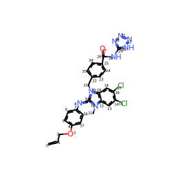 C=CCOc1ccc(/N=c2\n(C)c3cc(Cl)c(Cl)cc3n2Cc2ccc(C(=O)Nc3nnn[nH]3)cc2)cc1